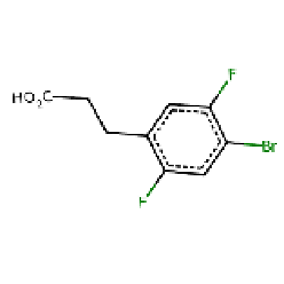 O=C(O)CCc1cc(F)c(Br)cc1F